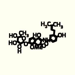 COc1c(O[C@@H]2OC(C)[C@@H](O)[C@H](O)C2O)ccc2c1CC(=O)C(NC(=O)c1ccc(O)c(CC=C(C)C)c1)=C2O